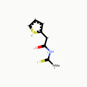 CNC(=S)NC(=O)Cc1cccs1